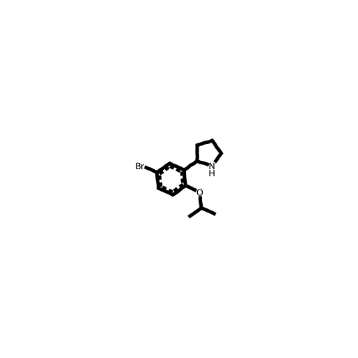 CC(C)Oc1ccc(Br)cc1C1CCCN1